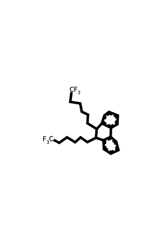 FC(F)(F)CCCCCC1c2ccccc2-c2ccccc2C1CCCCCC(F)(F)F